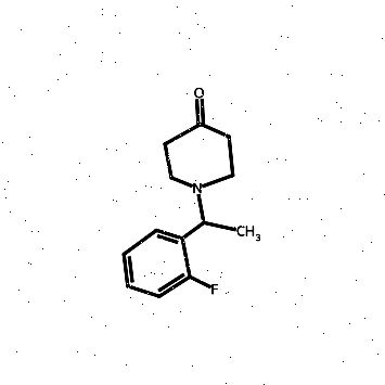 CC(c1ccccc1F)N1CCC(=O)CC1